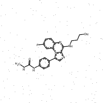 CNC(=O)Nc1ccc(-c2cnc3c(NCCCO)nc4ccc(F)cc4n23)cc1